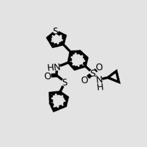 O=C(Nc1cc(S(=O)(=O)NC2CC2)ccc1-c1ccsc1)Sc1ccccc1